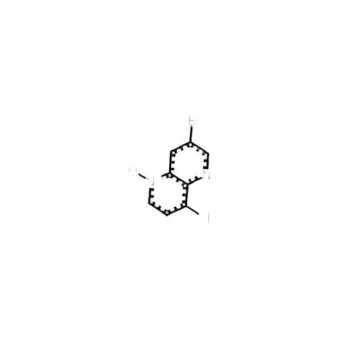 [O-][n+]1ccc(Cl)c2ncc(Br)cc21